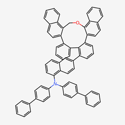 c1ccc(-c2ccc(N(c3ccc(-c4ccccc4)cc3)c3cccc4cc(-c5cccc6c5-c5ccccc5-c5ccc7ccccc7c5COc5c-6ccc6ccccc56)ccc34)cc2)cc1